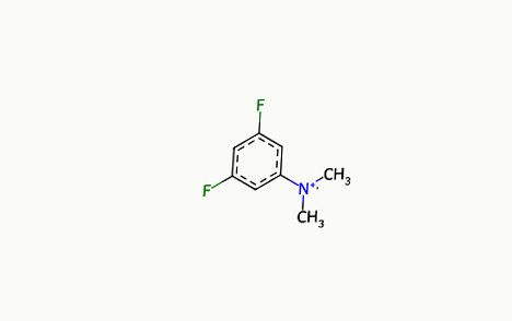 C[N+](C)c1cc(F)cc(F)c1